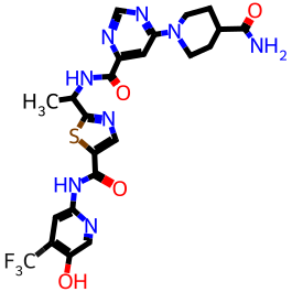 CC(NC(=O)c1cc(N2CCC(C(N)=O)CC2)ncn1)c1ncc(C(=O)Nc2cc(C(F)(F)F)c(O)cn2)s1